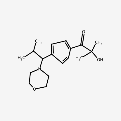 CC(C)C(c1ccc(C(=O)C(C)(C)O)cc1)N1CCOCC1